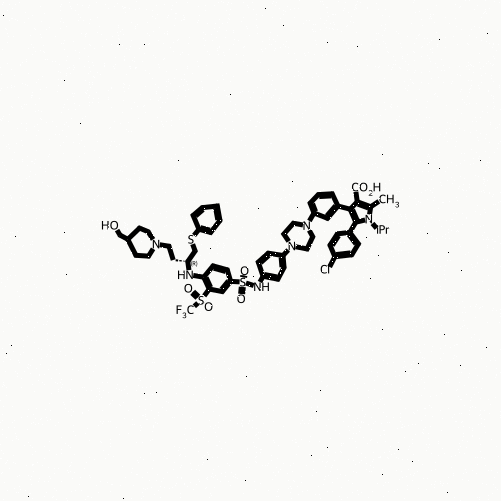 Cc1c(C(=O)O)c(-c2cccc(N3CCN(c4ccc(NS(=O)(=O)c5ccc(N[C@H](CCN6CCC(CO)CC6)CSc6ccccc6)c(S(=O)(=O)C(F)(F)F)c5)cc4)CC3)c2)c(-c2ccc(Cl)cc2)n1C(C)C